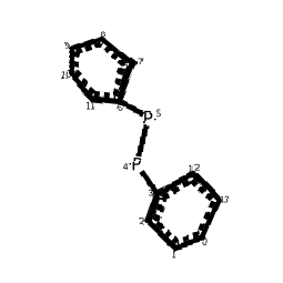 c1ccc([P][P]c2ccccc2)cc1